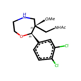 CO[C@]1(CNC(C)=O)CNCCO[C@@H]1c1ccc(Cl)c(Cl)c1